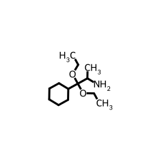 CCOC(OCC)(C(C)N)C1CCCCC1